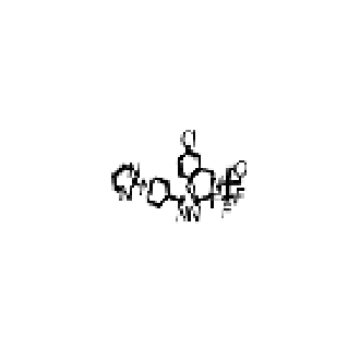 FC(F)(F)C1(N2Cc3cc(Cl)ccc3-n3c(nnc3C3CCN(c4ncccn4)CC3)C2)COC1